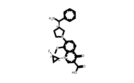 COc1c(N2CC[C@@H](C(N)c3ccccc3)C2)ccc2c(=O)c(C(=O)O)cn([C@@H]3C[C@@H]3F)c12